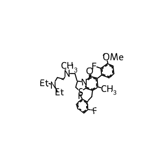 CCN(CC)CCN(C)CC1CSc2c(Cc3c(F)cccc3F)c(C)c(-c3cccc(OC)c3F)c(=O)n21